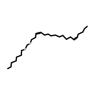 CCCC/C=C\CCCCCCCC/C=C\CCOCOCCCCCCC